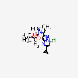 CCC(c1cc2nc(C3CC3)cc(Cl)n2n1)N(C)C(=O)OC(C)(C)C